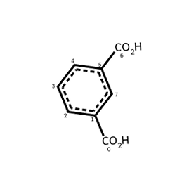 O=C(O)c1c[c]cc(C(=O)O)c1